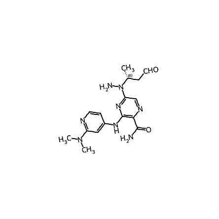 C[C@H](CC=O)N(N)c1cnc(C(N)=O)c(Nc2ccnc(N(C)C)c2)n1